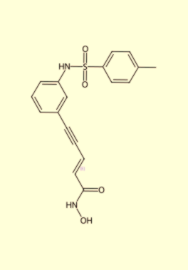 Cc1ccc(S(=O)(=O)Nc2cccc(C#C/C=C/C(=O)NO)c2)cc1